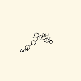 CC(=O)N1CCC(c2ccc([C@@H](CC(=NO)c3ccc(=O)n(C)c3)c3ccccc3C)cc2)CC1